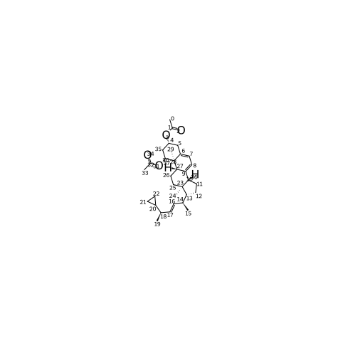 CC(=O)O[C@@H]1CC2=CC=C3[C@@H]4CC[C@H]([C@@H](C)/C=C/[C@@H](C)C5CC5)[C@@]4(C)CC[C@@H]3[C@@]2(C)[C@@H](OC(C)=O)C1